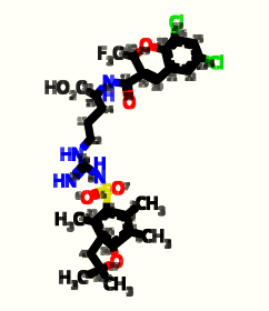 Cc1c(C)c(S(=O)(=O)NC(=N)NCCCC(NC(=O)C2=Cc3cc(Cl)cc(Cl)c3OC2C(F)(F)F)C(=O)O)c(C)c2c1OC(C)(C)C2